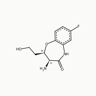 N[C@@H]1C(=O)Nc2cc(F)ccc2O[C@@H]1CCO